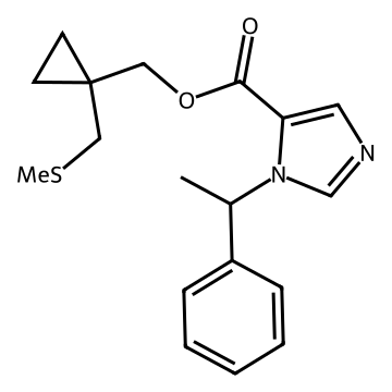 CSCC1(COC(=O)c2cncn2C(C)c2ccccc2)CC1